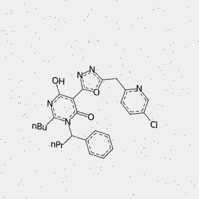 CCCCc1nc(O)c(-c2nnc(Cc3ccc(Cl)cn3)o2)c(=O)n1C(CCC)c1ccccc1